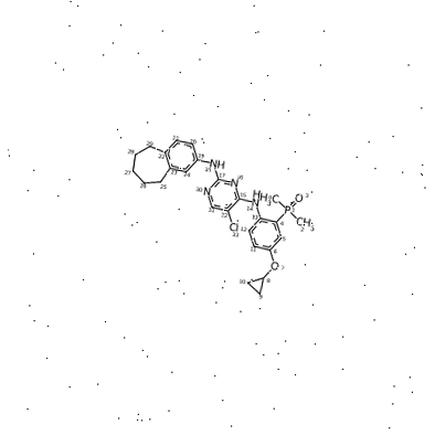 CP(C)(=O)c1cc(OC2CC2)ccc1Nc1nc(Nc2ccc3c(c2)CCCCC3)ncc1Cl